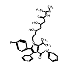 C/N=C(\N)NC(=O)C[C@H](O)C[C@H](O)CCn1c(-c2ccc(F)cc2)c(-c2ccccc2)c(C(=O)Nc2ccccc2)c1C(C)C